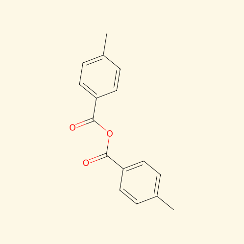 Cc1ccc(C(=O)OC(=O)c2ccc(C)cc2)cc1